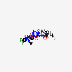 COC(=O)N[C@@H](CC/C=C/C(=O)N(C)C)C(=O)Nc1cccn(Cc2nc3cc(F)c(F)cc3n2CCC2CC2)c1=O